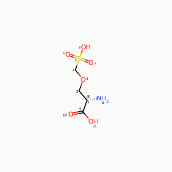 N[C@@H](COCS(=O)(=O)O)C(=O)O